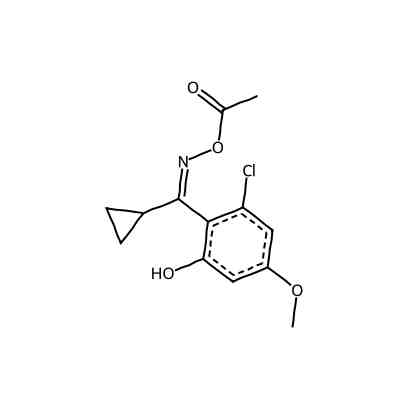 COc1cc(O)c(/C(=N\OC(C)=O)C2CC2)c(Cl)c1